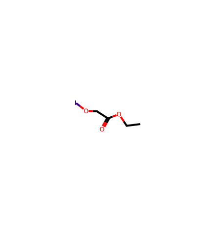 CCOC(=O)COI